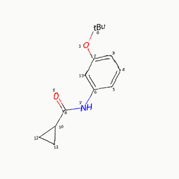 CC(C)(C)Oc1cccc(NC(=O)C2CC2)c1